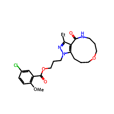 CCc1nn(CCCOC(=O)c2cc(Cl)ccc2OC)c2c1C(=O)NCCCOCCC2